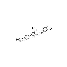 CCOc1cc(-c2ccc(C(=O)O)cc2)nn1CCOc1ccc2c(c1)CCCC2